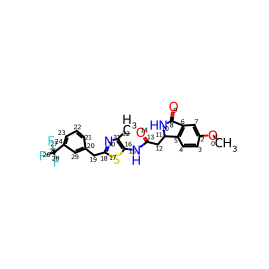 COc1ccc2c(c1)C(=O)NC2CC(=O)Nc1sc(Cc2cccc(C(F)(F)F)c2)nc1C